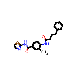 Cc1cc(C(=O)Nc2nccs2)ccc1NC(=O)CCCc1ccccc1